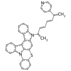 C=C(/C=C/C=C/C(=C)n1c2ccccc2c2c3c4ccccc4n4c3c(cc21)Sc1ccccc1-4)c1ccncc1